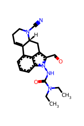 CCN(CC)C(=O)Nn1c(C=O)c2c3c(cccc31)C1=CCCN(C#N)[C@@H]1C2